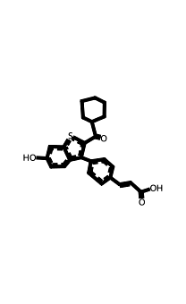 O=C(O)/C=C/c1ccc(-c2c(C(=O)C3CCCCC3)sc3cc(O)ccc23)cc1